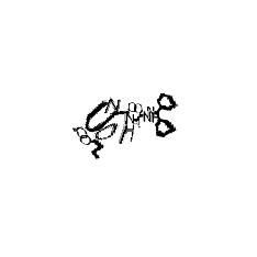 CCCC(=O)Oc1c(OC)ccnc1C(=O)N[C@@H](C)C(=O)NN=C(c1ccccc1)c1ccccc1